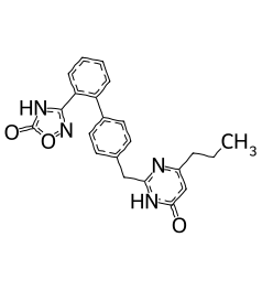 CCCc1cc(=O)[nH]c(Cc2ccc(-c3ccccc3-c3noc(=O)[nH]3)cc2)n1